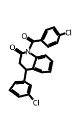 O=C1CC(c2cccc(Cl)c2)c2ccccc2N1C(=O)c1ccc(Cl)cc1